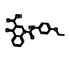 CCOc1ccc(NC(=O)n2cc(C(=O)O)c(=O)c3ccccc32)cc1